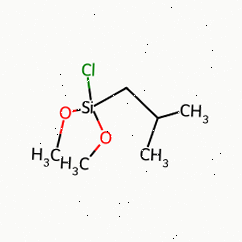 CO[Si](Cl)(CC(C)C)OC